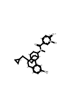 CCn1cc(C(=O)N(C)C2CCC34CCC2C32CCN(CC3CC3)C4Cc3ccc(O)cc32)ccc1=O